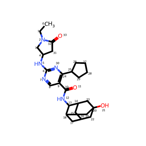 CCN1CC(Nc2ncc(C(=O)NC3C4CC5CC3CC(O)(C5)C4)c(C3CCCC3)n2)CC1=O